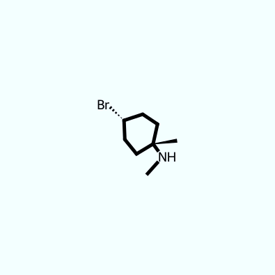 CN[C@]1(C)CC[C@H](Br)CC1